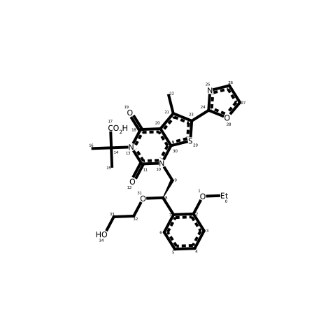 CCOc1ccccc1[C@H](Cn1c(=O)n(C(C)(C)C(=O)O)c(=O)c2c(C)c(-c3ncco3)sc21)OCCO